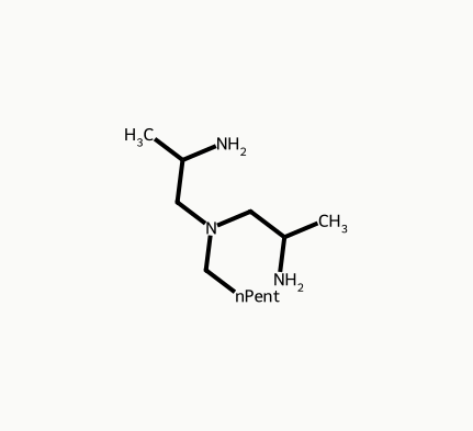 CCCCCCN(CC(C)N)CC(C)N